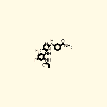 C=CC(=O)Nc1cc(F)ccc1Nc1nc(NC2CCCC(C(N)=O)C2)ncc1C(F)(F)F